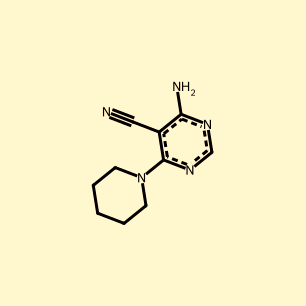 N#Cc1c(N)ncnc1N1CCCCC1